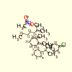 CC(C)c1ccccc1.CCCCCC(C)C.C[N+](=O)[O-].Cc1ccccc1C.Clc1ccccc1